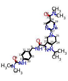 CC(C)n1nc(C(=O)NCc2ccc(NC(=O)N(C)C)cc2)c2c1CCN(c1ncc(C(=O)N(C)C)cn1)C2